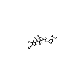 Cc1c(N2C(=O)[C@@H]3C4C[C@H](CN4C(=O)Nc4cccc([N+](=O)[O-])c4)N3C2=O)ccc(C#N)c1Cl